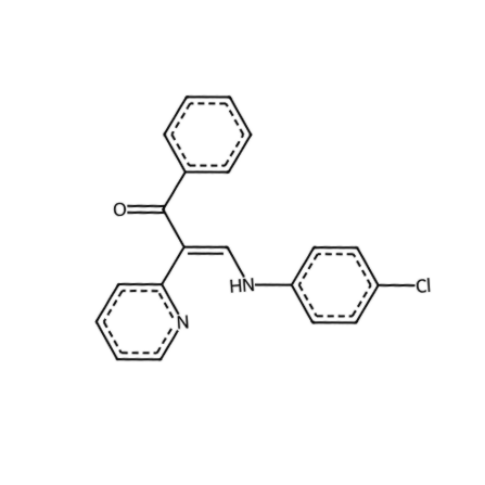 O=C(/C(=C/Nc1ccc(Cl)cc1)c1ccccn1)c1ccccc1